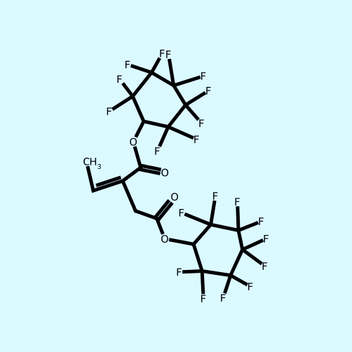 CC=C(CC(=O)OC1C(F)(F)C(F)(F)C(F)(F)C(F)(F)C1(F)F)C(=O)OC1C(F)(F)C(F)(F)C(F)(F)C(F)(F)C1(F)F